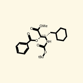 COC(=O)[C@@H](OC(=O)c1ccccc1)[C@H](CC1CCCCC1)NC(=O)OC(C)(C)C